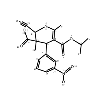 CC1=C(C(=O)OC(C)C)C(c2cccc([N+](=O)[O-])c2)C(C)(C(=O)O)C(C#N)N1